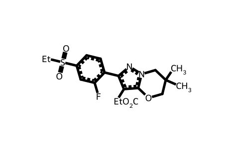 CCOC(=O)c1c(-c2ccc(S(=O)(=O)CC)cc2F)nn2c1OCC(C)(C)C2